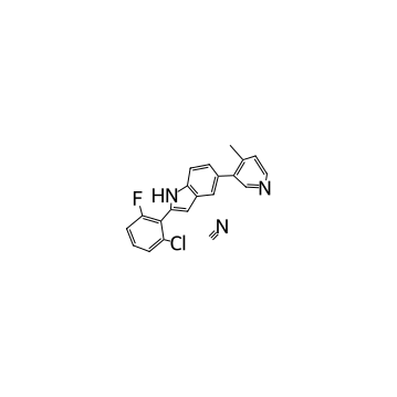 C#N.Cc1ccncc1-c1ccc2[nH]c(-c3c(F)cccc3Cl)cc2c1